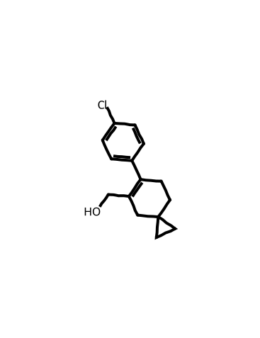 OCC1=C(c2ccc(Cl)cc2)CCC2(CC2)C1